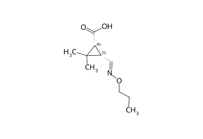 CCCON=C[C@H]1[C@@H](C(=O)O)C1(C)C